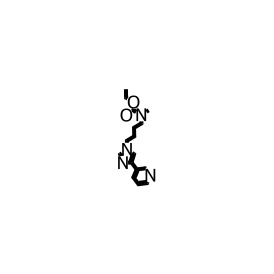 CCOC(=O)N(C)CCCCn1cnc(-c2cccnc2)c1